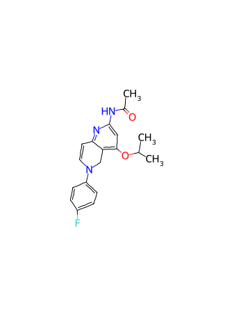 CC(=O)Nc1cc(OC(C)C)c2c(n1)C=CN(c1ccc(F)cc1)C2